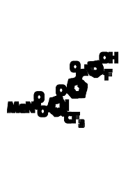 CNC(=O)Oc1cc(Oc2cccc(C(=O)N3C[C@@H](O)[C@H](F)C3)c2)nc(C(F)(F)F)c1